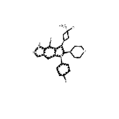 O=C(O)[C@]1(O)C[C@@H](c2c(C3CCOCC3)n(-c3ccc(F)cc3)c3cc4cn[nH]c4c(F)c32)C1